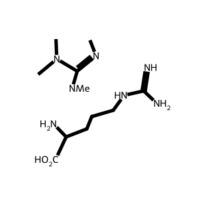 CN=C(NC)N(C)C.N=C(N)NCCCC(N)C(=O)O